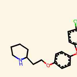 Clc1ccc(Oc2ccc(OCCC3CCCCN3)cc2)cc1